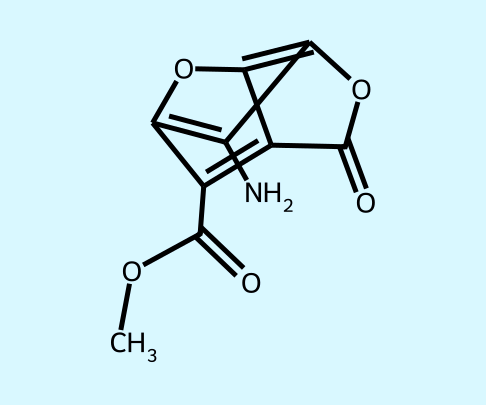 COC(=O)c1c2c3oc1c(N)c3OC2=O